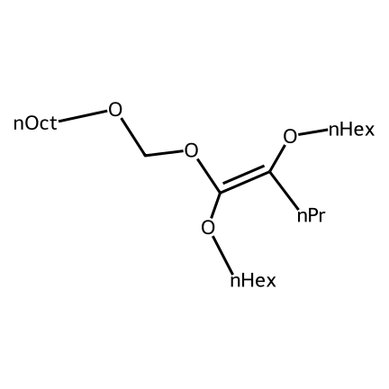 CCCCCCCCOCOC(OCCCCCC)=C(CCC)OCCCCCC